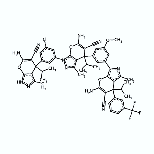 COc1cc(-n2nc(C)c3c2OC(N)=C(C#N)C3(c2cccc(C(F)(F)F)c2)C(C)C)cc(C2(C(C)C)C(C#N)=C(N)Oc3c2c(C)nn3-c2cc(Cl)cc(C3(C(C)C)C(C#N)=C(N)Oc4[nH]nc(C)c43)c2)c1